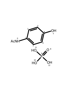 CC(=O)Nc1ccc(O)cc1.O=P(O)(O)O